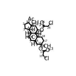 CC(=O)[C@H]1CC[C@H]2[C@@H]3CC[C@H]4C[C@](C)(OC(=O)CCl)CC[C@]4(C)[C@H]3[C@@H](OC(=O)CCl)C[C@]12C